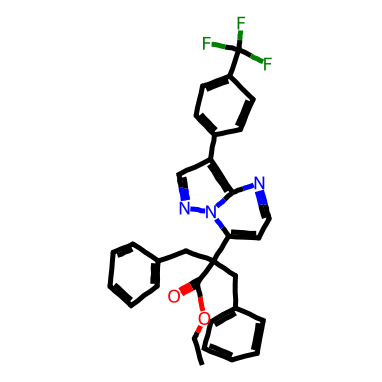 CCOC(=O)C(Cc1ccccc1)(Cc1ccccc1)c1ccnc2c(-c3ccc(C(F)(F)F)cc3)cnn12